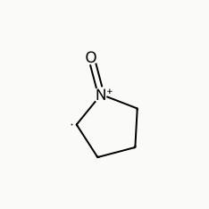 O=[N+]1[CH]CCC1